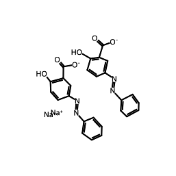 O=C([O-])c1cc(N=Nc2ccccc2)ccc1O.O=C([O-])c1cc(N=Nc2ccccc2)ccc1O.[Na+].[Na+]